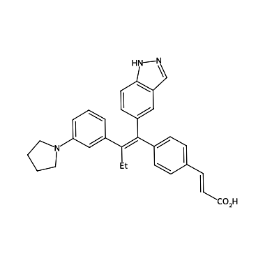 CCC(=C(c1ccc(C=CC(=O)O)cc1)c1ccc2[nH]ncc2c1)c1cccc(N2CCCC2)c1